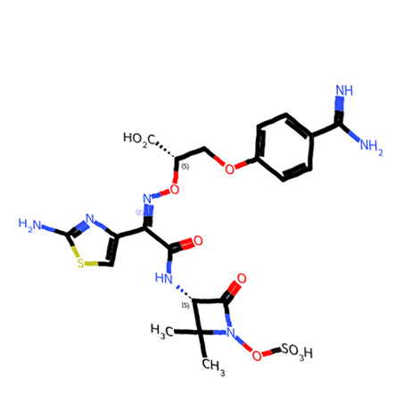 CC1(C)[C@H](NC(=O)/C(=N\O[C@@H](COc2ccc(C(=N)N)cc2)C(=O)O)c2csc(N)n2)C(=O)N1OS(=O)(=O)O